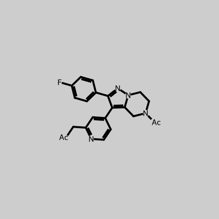 CC(=O)Cc1cc(-c2c(-c3ccc(F)cc3)nn3c2CN(C(C)=O)CC3)ccn1